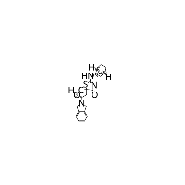 CC1(CC(=O)N2Cc3ccccc3C2)SC(N[C@H]2C[C@H]3CC[C@H]2C3)=NC1=O